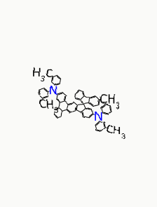 Cc1cccc(N(c2cccc(C)c2)c2ccc3c(c2)C2(c4ccccc4-c4ccccc42)c2cc4c5ccc(N(c6cccc(C)c6)c6cccc(C)c6)cc5c5ccccc5c4cc2-3)c1